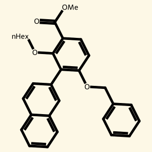 CCCCCCOc1c(C(=O)OC)ccc(OCc2ccccc2)c1-c1ccc2ccccc2c1